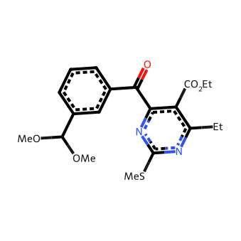 CCOC(=O)c1c(CC)nc(SC)nc1C(=O)c1cccc(C(OC)OC)c1